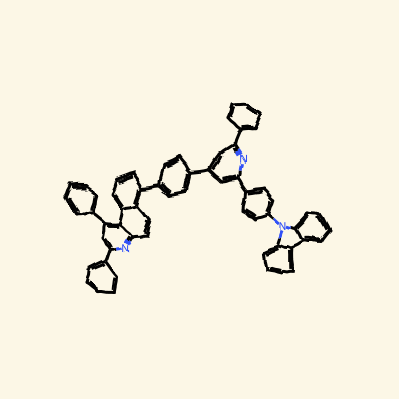 c1ccc(-c2cc(-c3ccc(-c4cccc5c4ccc4nc(-c6ccccc6)cc(-c6ccccc6)c45)cc3)cc(-c3ccc(-n4c5ccccc5c5ccccc54)cc3)n2)cc1